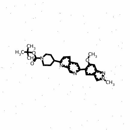 COc1cc2nn(C)cc2cc1-c1cc2ccc(C3CCN(C(=O)OC(C)(C)C)CC3)nc2cn1